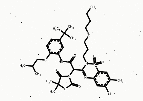 CCCCOCCCN1C(C(C(=O)Nc2cc(C(C)(C)C)ccc2SCC(C)C)N2C(=O)OC(C)(C)C2=O)=Nc2cc(Cl)c(C)cc2S1(=O)=O